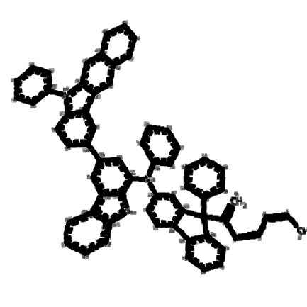 C=C(/C=C\C=C/C)C1(c2ccccc2)c2ccccc2-c2ccc(N(c3ccccc3)c3cc(-c4ccc5c(c4)c4cc6ccccc6cc4n5-c4ccccc4)cc4c3sc3ccccc34)cc21